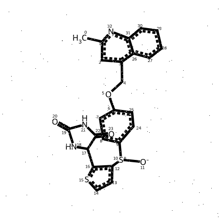 Cc1cc(COc2ccc([S+]([O-])c3ccsc3C3NC(=O)NC3=O)cc2)c2ccccc2n1